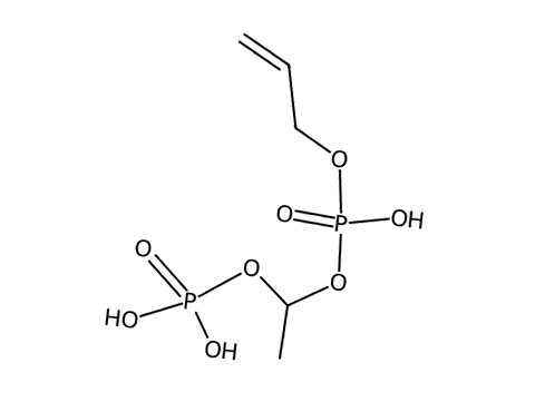 C=CCOP(=O)(O)OC(C)OP(=O)(O)O